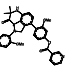 COc1cc(OC(=O)c2cccnc2)ccc1-c1ccc2c3c1CN(c1ccccc1OC)N3C(=O)C(C)(C)N2